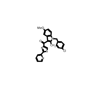 COc1ccc2c(c1)c(C(=O)c1csc(-c3ccccn3)n1)c(C)n2Cc1ccc(Cl)cc1